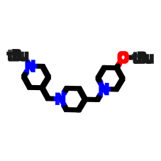 CC(C)(C)OC1CCN(CC2CCN(CC3CCN(C(C)(C)C)CC3)CC2)CC1